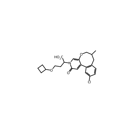 CC1COc2cn(C(CCOC3CCC3)C(=O)O)c(=O)cc2-c2cc(Cl)ccc2C1